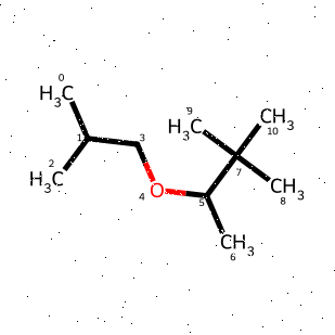 CC(C)COC(C)C(C)(C)C